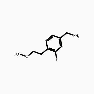 COCCc1ccc(CN)cc1F